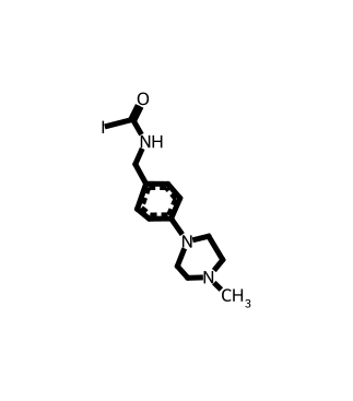 CN1CCN(c2ccc(CNC(=O)I)cc2)CC1